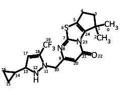 CC1(C)CCc2sc3nc(CN4NC(C5CC5)C=C4C(F)(F)F)cc(=O)n3c21